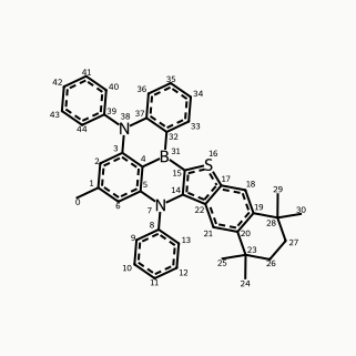 Cc1cc2c3c(c1)N(c1ccccc1)c1c(sc4cc5c(cc14)C(C)(C)CCC5(C)C)B3c1ccccc1N2c1ccccc1